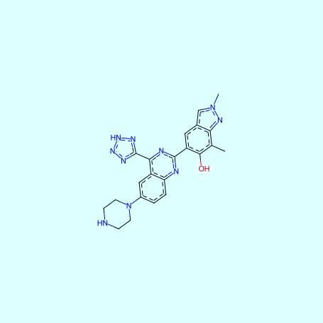 Cc1c(O)c(-c2nc(-c3nn[nH]n3)c3cc(N4CCNCC4)ccc3n2)cc2cn(C)nc12